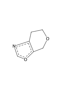 c1nc2c(o1)COCC2